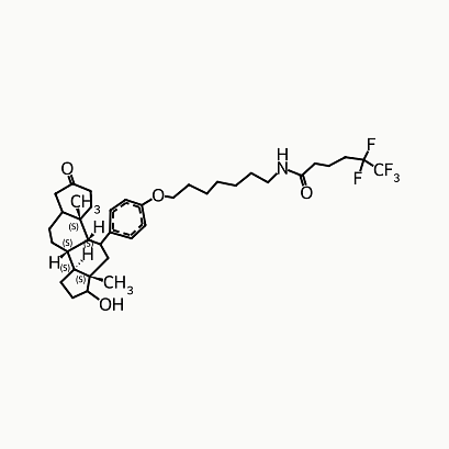 C[C@]12CCC(=O)CC1CC[C@@H]1[C@H]2C(c2ccc(OCCCCCCCNC(=O)CCCC(F)(F)C(F)(F)F)cc2)C[C@]2(C)C(O)CC[C@@H]12